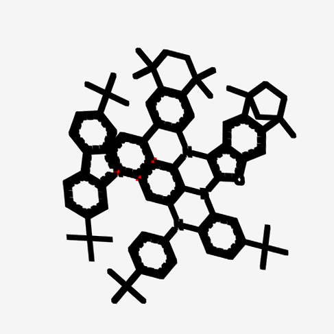 CC(C)(C)c1ccc(N2c3ccc(C(C)(C)C)cc3B3c4oc5cc6c(cc5c4N(c4cc5c(cc4-c4ccccc4)C(C)(C)CCC5(C)C)c4cc(-n5c7cc(C(C)(C)C)ccc7c7ccc(C(C)(C)C)cc75)cc2c43)C2(C)CCC6(C)C2)cc1